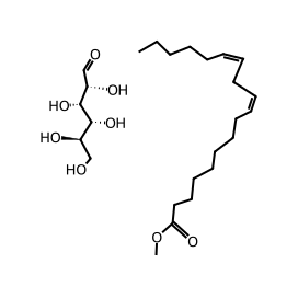 CCCCC/C=C\C/C=C\CCCCCCCC(=O)OC.O=C[C@H](O)[C@@H](O)[C@H](O)[C@H](O)CO